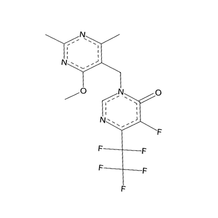 COc1nc(C)nc(C)c1Cn1cnc(C(F)(F)C(F)(F)F)c(F)c1=O